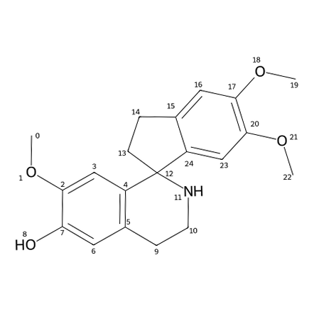 COc1cc2c(cc1O)CCNC21CCc2cc(OC)c(OC)cc21